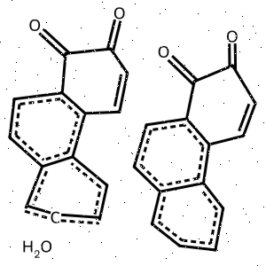 O.O=C1C=Cc2c(ccc3ccccc23)C1=O.O=C1C=Cc2c(ccc3ccccc23)C1=O